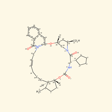 CC1CC[C@H]2OC(=O)N[C@@H](C3CCCC3)C(=O)N3C[C@@H](C[C@H]3C(=O)O)Oc3cc4ccccc4c(=O)n3CC=CCCC[C@H]12